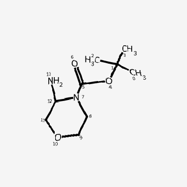 CC(C)(C)OC(=O)N1CCOCC1N